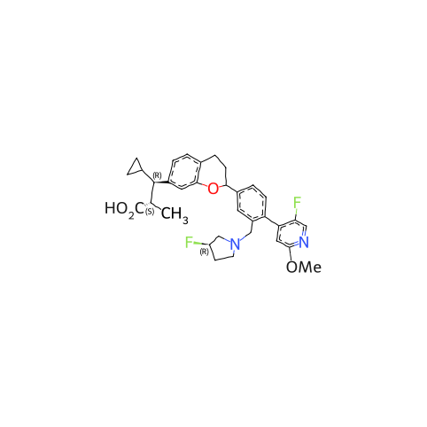 COc1cc(-c2ccc(C3CCc4ccc([C@H](C5CC5)[C@H](C)C(=O)O)cc4O3)cc2CN2CC[C@@H](F)C2)c(F)cn1